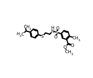 COC(=O)c1cc(S(=O)(=O)NCCSc2ccc(C(C)C)cc2)ccc1C